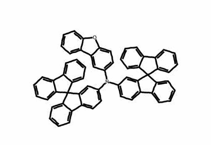 c1ccc2c(c1)-c1ccccc1C21c2ccccc2-c2ccc(N(c3ccc4c(c3)C3(c5ccccc5-c5ccccc53)c3ccccc3-4)c3ccc4oc5ccccc5c4c3)cc21